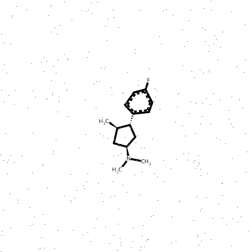 C[C@@H]1C[C@H](N(C)C)C[C@H]1c1ccc(F)cc1